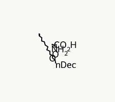 C=CCCCCCCCCC(=O)OCCCCCCCCCCCC.C[C@H](N)C(=O)O